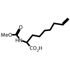 C=CCCCCCC(NC(=O)OC)C(=O)O